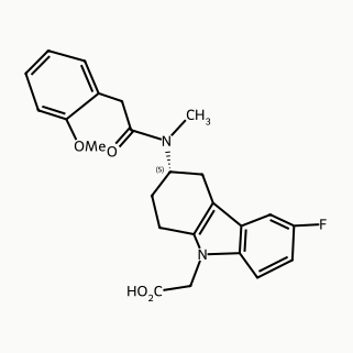 COc1ccccc1CC(=O)N(C)[C@H]1CCc2c(c3cc(F)ccc3n2CC(=O)O)C1